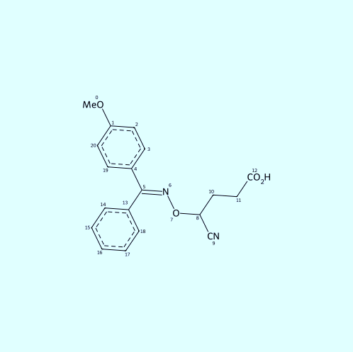 COc1ccc(C(=NOC(C#N)CCC(=O)O)c2ccccc2)cc1